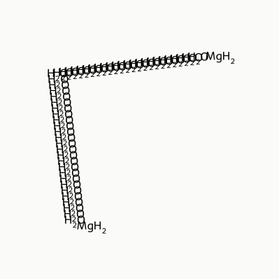 O.O.O.O.O.O.O.O.O.O.O.O.O.O.O.O.O.O.O.O.O.O.O.O.O.O.O.O.O.O.O.O.O.O.O.O.O.O.O.O.O.O.O.O.O.O.O.O.O.O.[MgH2].[MgH2]